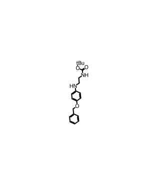 CC(C)(C)OC(=O)NCCNc1ccc(OCc2ccccc2)cc1